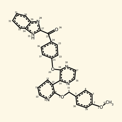 COc1ccc(COc2ncccc2-c2nccnc2Oc2ccc(C(=O)c3nc4ccccc4[nH]3)cc2)cc1